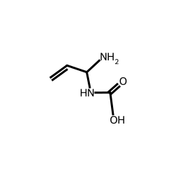 C=CC(N)NC(=O)O